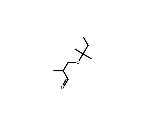 CCC(C)(C)OCC(C)C=O